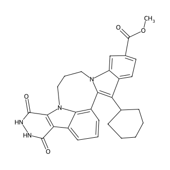 COC(=O)c1ccc2c(C3CCCCC3)c3n(c2c1)CCCn1c2c-3cccc2c2c(=O)[nH][nH]c(=O)c21